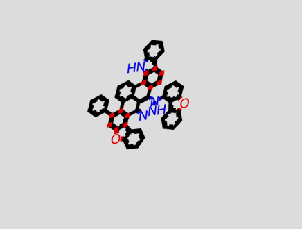 c1ccc(C2=C(c3c(-c4ccccc4-c4ccccc4)cccc3-c3cccc4c3[nH]c3ccccc34)C(c3cccc4oc5ccccc5c34)=NNN2c2cccc3oc4ccccc4c23)cc1